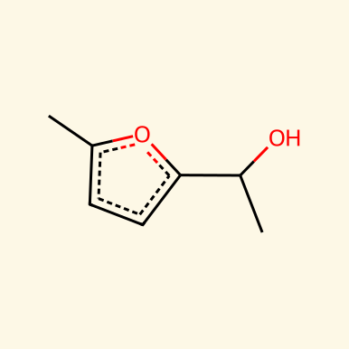 Cc1ccc(C(C)O)o1